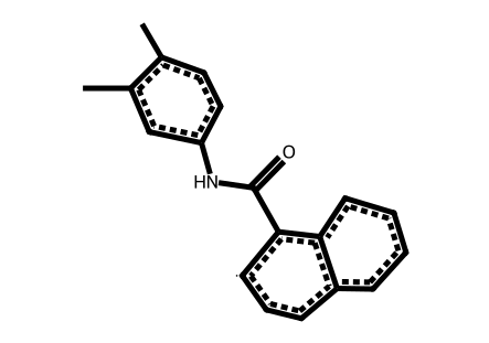 Cc1ccc(NC(=O)c2[c]ccc3ccccc23)cc1C